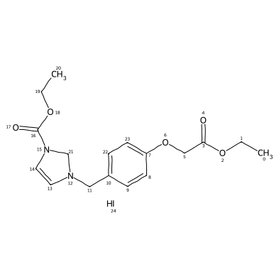 CCOC(=O)COc1ccc(CN2C=CN(C(=O)OCC)C2)cc1.I